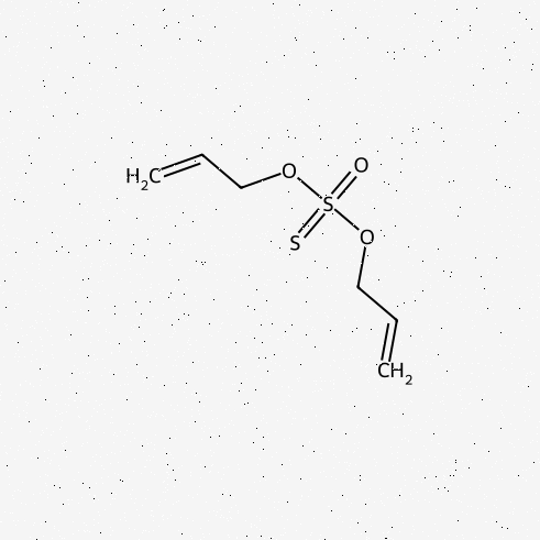 C=CCOS(=O)(=S)OCC=C